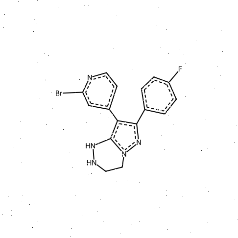 Fc1ccc(-c2nn3c(c2-c2ccnc(Br)c2)NNCC3)cc1